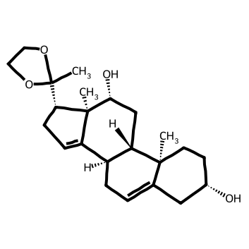 CC1([C@H]2CC=C3[C@@H]4CC=C5C[C@@H](O)CC[C@]5(C)[C@H]4C[C@@H](O)[C@@]32C)OCCO1